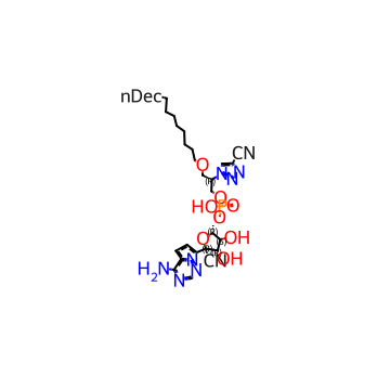 CCCCCCCCCCCCCCCCCCOC[C@H](COP(=O)(O)OC[C@H]1O[C@@](C#N)(c2ccc3c(N)ncnn23)[C@H](O)[C@@H]1O)n1cc(C#N)nn1